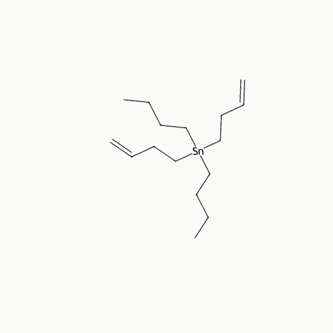 C=CC[CH2][Sn]([CH2]CC=C)([CH2]CCC)[CH2]CCC